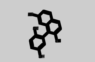 Oc1ccc(O)c(-c2c(O)ccc3ccc(O)cc23)c1